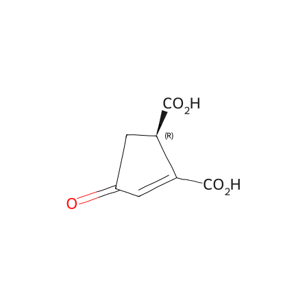 O=C1C=C(C(=O)O)[C@H](C(=O)O)C1